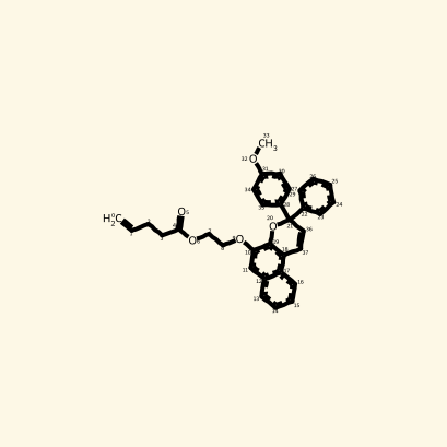 C=CCCC(=O)OCCOc1cc2ccccc2c2c1OC(c1ccccc1)(c1ccc(OC)cc1)C=C2